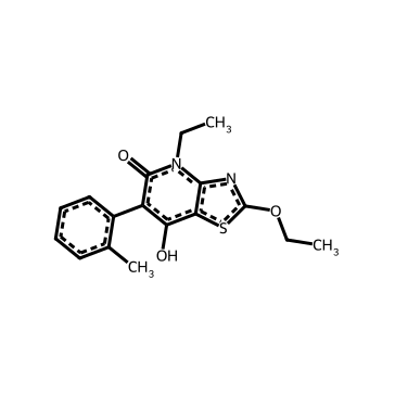 CCOc1nc2c(s1)c(O)c(-c1ccccc1C)c(=O)n2CC